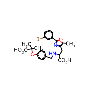 Cc1oc(-c2cccc(Br)c2)nc1CC(NCc1ccc(OC(C)(C)C(=O)O)cc1)C(=O)O